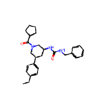 CCc1ccc(C2CC(NC(=O)NCc3ccccc3)CN(C(=O)C3CCCC3)C2)cc1